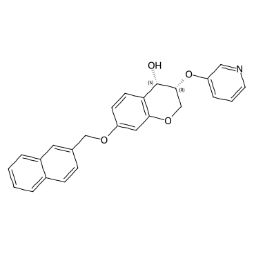 O[C@H]1c2ccc(OCc3ccc4ccccc4c3)cc2OC[C@H]1Oc1cccnc1